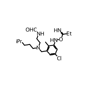 CCC(=N)ONc1cc(Cl)cc(CN(CCCC(C)C)CCNC=O)c1C